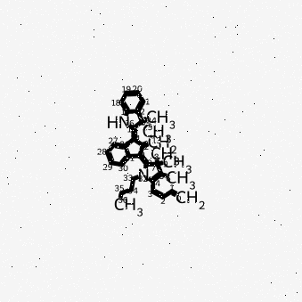 C=C/C=C\C1=C(C)C(C)(C)/C(=C2\C(=C)/C(=C3/Nc4ccccc4C3(C)C)c3ccccc32)N1CCCC